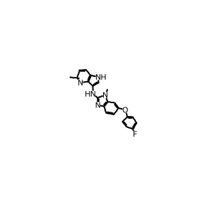 Cc1ccc2[nH]cc(Nc3nc4ccc(Oc5ccc(F)cc5)cc4n3C)c2n1